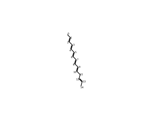 CC=CC=CC=CC=CC=CCC=CC